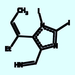 C/C=C(/CC)c1c(C=N)nc(I)n1I